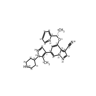 Cc1c(-c2cc(O[C@@H](C)c3ccccn3)c3c(C#N)cnn3c2)cnn1C1CCNCC1